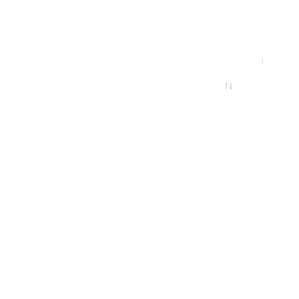 Fc1ccccc1N(c1ccccc1)c1ccc(-c2ccc(-c3c4ccccc4c(-c4cccc5ccccc45)c4ccccc34)cc2)cc1